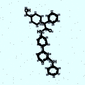 O=C(Nc1ccc(-c2ccnc(Nc3ccccc3)n2)cc1)C(c1ccccc1)N1CCC(CO)CC1